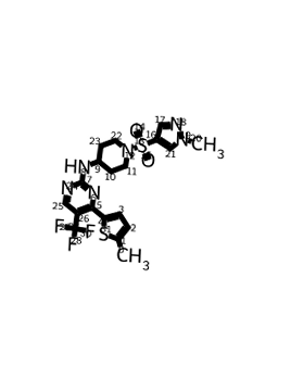 Cc1ccc(-c2nc(NC3CCN(S(=O)(=O)c4cnn(C)c4)CC3)ncc2C(F)(F)F)s1